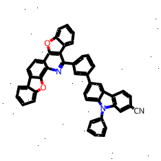 N#Cc1ccc2c3cc(-c4cccc(-c5nc6c(ccc7c8ccccc8oc76)c6oc7ccccc7c56)c4)ccc3n(-c3ccccc3)c2c1